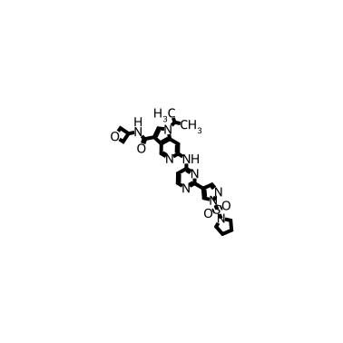 CC(C)n1cc(C(=O)NC2COC2)c2cnc(Nc3ccnc(-c4cnn(S(=O)(=O)N5CCCC5)c4)n3)cc21